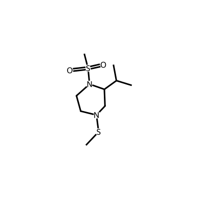 CSN1CCN(S(C)(=O)=O)C(C(C)C)C1